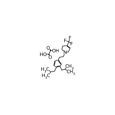 CC(C)Cc1ccc(CCN2CC=C(C(F)(F)F)CC2)cc1CC(C)C.O=C(O)C(=O)O